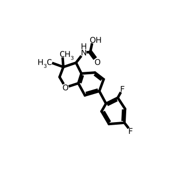 CC1(C)COc2cc(-c3ccc(F)cc3F)ccc2C1NC(=O)O